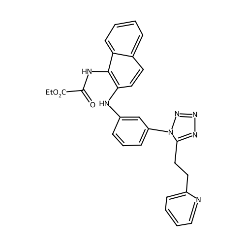 CCOC(=O)C(=O)Nc1c(Nc2cccc(-n3nnnc3CCc3ccccn3)c2)ccc2ccccc12